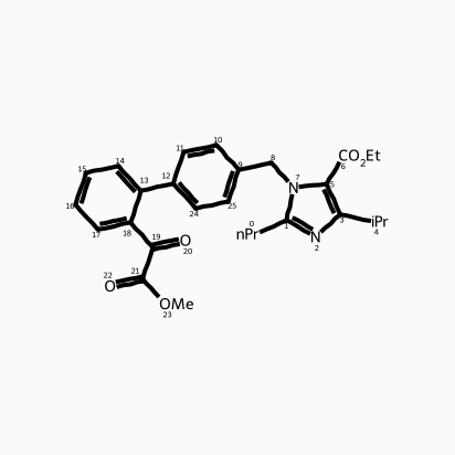 CCCc1nc(C(C)C)c(C(=O)OCC)n1Cc1ccc(-c2ccccc2C(=O)C(=O)OC)cc1